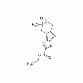 CCOC(=O)c1cn2c3c(sc2n1)CCC(C)(C)C3